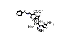 Nc1nc(/C(=N\O)C(=O)NC2C(=O)N3C(C(=O)[O-])=C(/C=C/Sc4ccncc4)CS[C@H]23)cs1.[Na+]